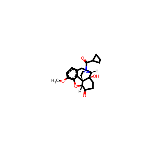 COc1ccc2c3c1O[C@H]1C(=O)CC[C@@]4(O)[C@@H](C2)N(C(=O)C2CCC2)CC[C@]314